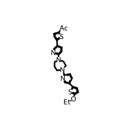 CCOc1ccc(-c2ccc(N3CCCN(c4ccc(-c5ccc(C(C)=O)s5)cn4)CC3)nc2)s1